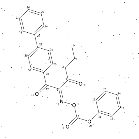 CCCC(=O)/C(=N\OC(=O)Oc1ccccc1)C(=O)c1ccc(-c2ccccc2)cc1